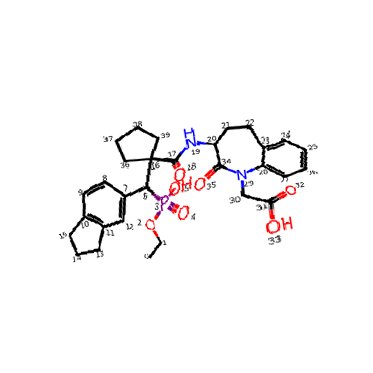 CCOP(=O)(O)C(c1ccc2c(c1)CCC2)C1(C(=O)N[C@H]2CCc3ccccc3N(CC(=O)O)C2=O)CCCC1